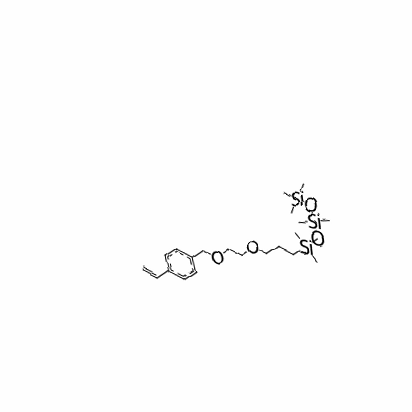 C=Cc1ccc(COCCOCCC[Si](C)(C)O[Si](C)(C)O[Si](C)(C)C)cc1